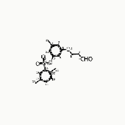 Cc1cc(OCCC=O)cc(OS(=O)(=O)c2cc(C)ccc2C)c1